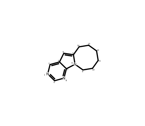 c1ncc2cc3n(c2n1)CCCCCC3